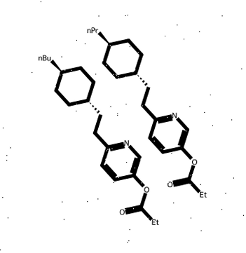 CCCC[C@H]1CC[C@H](CCc2ccc(OC(=O)CC)cn2)CC1.CCC[C@H]1CC[C@H](CCc2ccc(OC(=O)CC)cn2)CC1